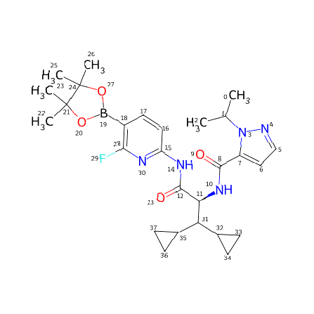 CC(C)n1nccc1C(=O)N[C@H](C(=O)Nc1ccc(B2OC(C)(C)C(C)(C)O2)c(F)n1)C(C1CC1)C1CC1